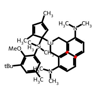 COc1c(C(C)(C)C)cc(C)cc1[Si](C)(C)[C]1([Lu]([CH2]c2ccccc2N(C)C)[CH2]c2ccccc2N(C)C)C=C(C)C=C1C